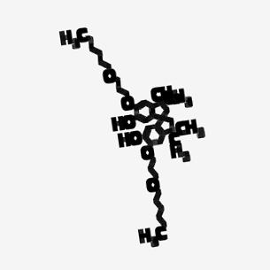 CCCCCCOCCCOc1cc2c(cc1O)C1(CC2(C)C)CC(C)(C)c2cc(OCCCOCCCCCC)c(O)cc21